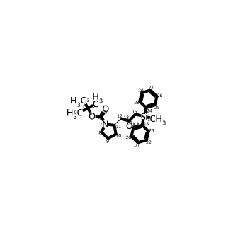 CC(C)(C)OC(=O)N1CCC[C@H]1C[C@H](O)C[Si](C)(c1ccccc1)c1ccccc1